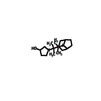 CC(C)N1C2CCC1CC(C(C)(C)N1CCC(O)C1)C2